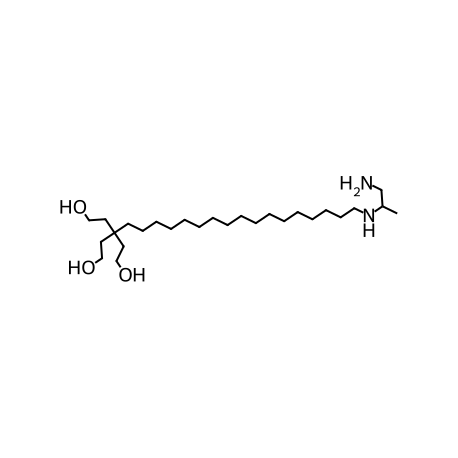 CC(CN)NCCCCCCCCCCCCCCCCCC(CCO)(CCO)CCO